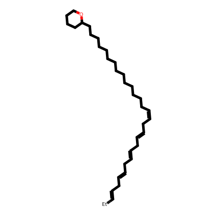 CCC=CCC=CCC=CCC=CC/C=C\CCCCCCCCCCCCCCC1CCCCO1